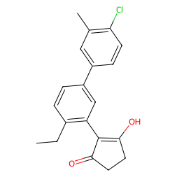 CCc1ccc(-c2ccc(Cl)c(C)c2)cc1C1=C(O)CCC1=O